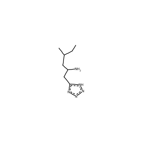 CCC(C)CC(N)Cc1nnn[nH]1